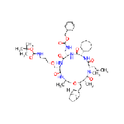 CCC[C@H]1C(=O)N[C@@H](C2CCCCCC2)C(=O)N[C@@H](CNC(=O)OCc2ccccc2)C(=O)N[C@@H](COCCCNC(=O)OC(C)(C)C)C(=O)N[C@H](C)CO[C@H](C[C@H]2CC3CC[C@H](C3)C2)[C@@H](C)C(=O)N1C